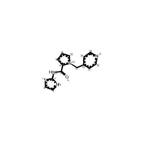 O=C(Nc1nccs1)c1cccn1Cc1ccncc1